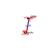 COP(=O)(O)OC[C@@H]1C[C@@H](O)CN1C(=O)CCCCCNC(=O)CCCCOC1OC(CO)C(O)C(O)C1NC(C)=O